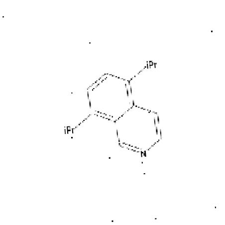 CC(C)c1ccc(C(C)C)c2cnccc12